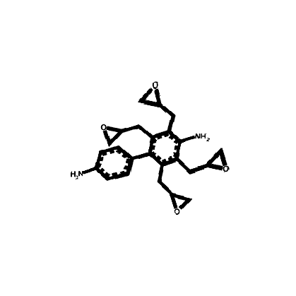 Nc1ccc(-c2c(CC3CO3)c(CC3CO3)c(N)c(CC3CO3)c2CC2CO2)cc1